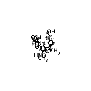 CNC(=O)c1cc(C(=O)N[C@H]2[C@@H]3COC[C@@H]32)cc2c1O[C@@H](C)[C@@H]2c1cccc(OCCO)c1